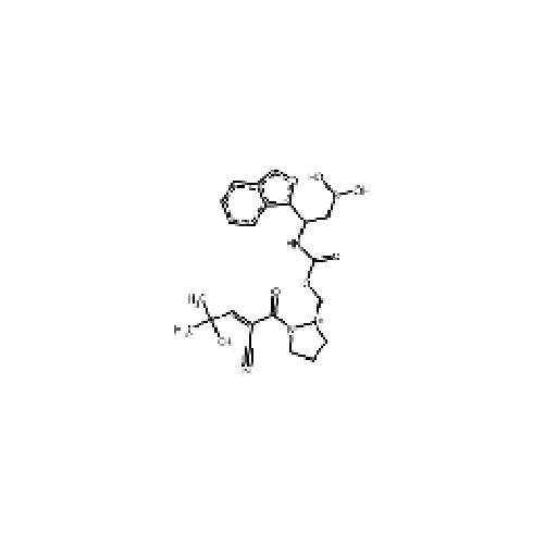 CC(C)(C)C=C(C#N)C(=O)N1CCC[C@@H]1COC(=O)NC(CB(O)O)c1occ2ccccc12